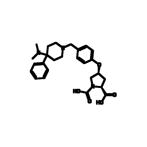 CN(C)C1(c2ccccc2)CCN(Cc2ccc(O[C@H]3C[C@@H](C(=O)O)N(C(=O)O)C3)cc2)CC1